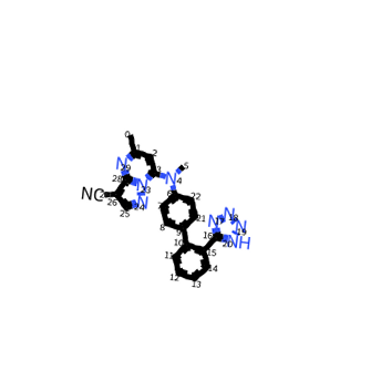 Cc1cc(N(C)c2ccc(-c3ccccc3-c3nnn[nH]3)cc2)n2ncc(C#N)c2n1